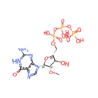 CO[C@H]1C(O)[C@@H](COP(=O)(O)OP(=O)(O)OP(=O)(O)O)O[C@H]1n1cnc2c(=O)[nH]c(N)nc21